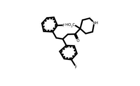 O=C(O)C1(C(=O)CC(Cc2ccccc2F)c2ccc(F)cc2)CCNCC1